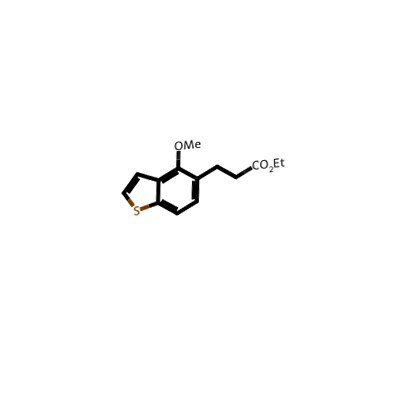 CCOC(=O)CCc1ccc2sccc2c1OC